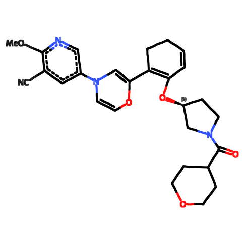 COc1ncc(N2C=COC(C3=C(O[C@H]4CCN(C(=O)C5CCOCC5)C4)C=CCC3)=C2)cc1C#N